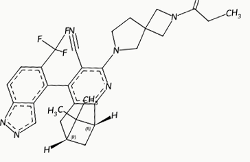 CCC(=O)N1CC2(CCN(c3nc4c(c(-c5c(C(F)(F)F)ccc6[nH]ncc56)c3C#N)C[C@H]3C[C@@H]4C3(C)C)C2)C1